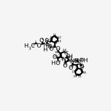 CCOC(=O)NS(=O)(=O)c1ccccc1C(=O)OCC1=C(C(=O)O)N2C(=O)[C@@H](NC(=O)C(c3ccccc3)S(=O)(=O)O)[C@@H]2SC1